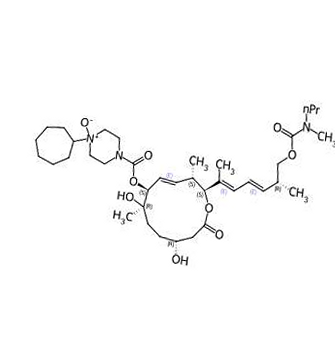 CCCN(C)C(=O)OC[C@H](C)/C=C/C=C(\C)[C@H]1OC(=O)C[C@H](O)CC[C@@](C)(O)[C@@H](OC(=O)N2CC[N+]([O-])(C3CCCCCC3)CC2)/C=C/[C@@H]1C